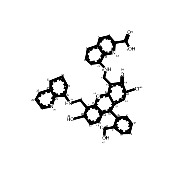 O=C(O)c1ccc2cccc(NCc3c4oc5c(CNc6cccc7cccnc67)c(O)ccc5c(-c5ccccc5C(=O)O)c-4cc(Cl)c3=O)c2n1